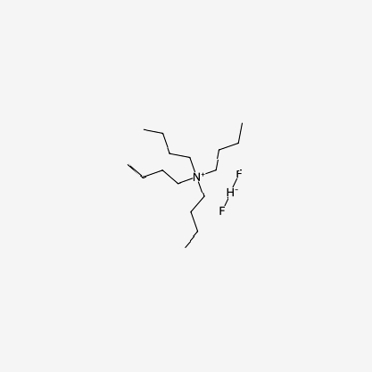 CCCC[N+](CCCC)(CCCC)CCCC.F[H-]F